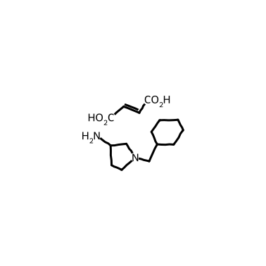 NC1CCN(CC2CCCCC2)C1.O=C(O)C=CC(=O)O